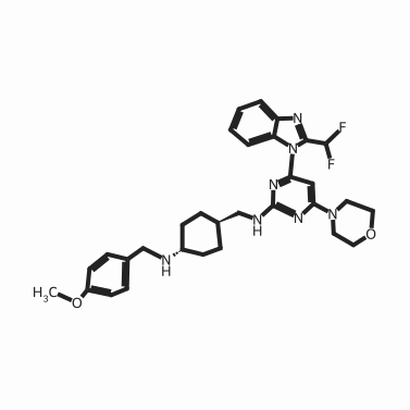 COc1ccc(CN[C@H]2CC[C@H](CNc3nc(N4CCOCC4)cc(-n4c(C(F)F)nc5ccccc54)n3)CC2)cc1